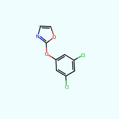 Clc1cc(Cl)cc(Oc2n[c]co2)c1